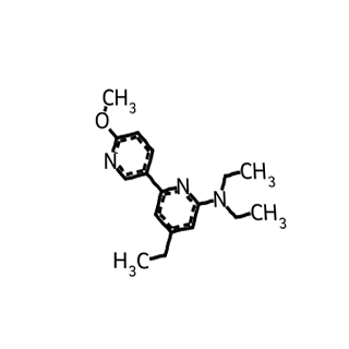 CCc1cc(-c2ccc(OC)nc2)nc(N(CC)CC)c1